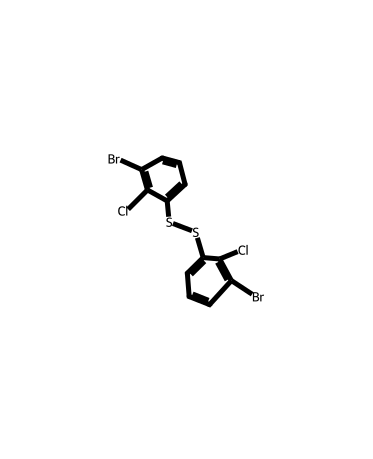 Clc1c(Br)cccc1SSc1cccc(Br)c1Cl